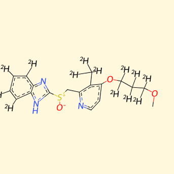 [2H]c1c([2H])c([2H])c2[nH]c([S+]([O-])Cc3nccc(OC([2H])([2H])C([2H])([2H])C([2H])([2H])OC)c3C([2H])([2H])[2H])nc2c1[2H]